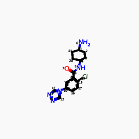 NC1CCC(NC(=O)c2cc(-n3cnnc3)ccc2Cl)CC1